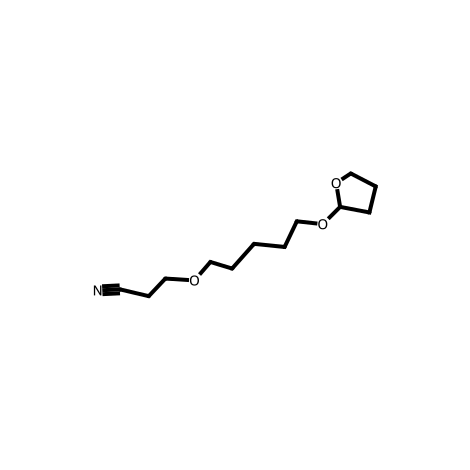 N#CCCOCCCCCOC1CCCO1